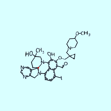 COC1CCN(CC2(COc3c(O)c(N4CCCC(C)(O)C4)c4c(N5Cc6cncnc6C5)ccc(I)c4c3C=O)CC2)CC1